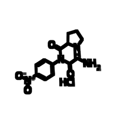 Cl.NCC(=O)N(C(=O)C1CCCN1)c1ccc([N+](=O)[O-])cc1